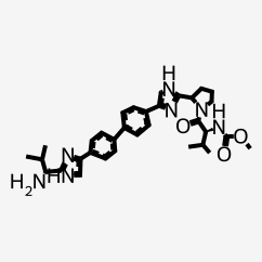 COC(=O)N[C@H](C(=O)N1CCCC1c1nc(-c2ccc(-c3ccc(-c4c[nH]c(C(N)C(C)C)n4)cc3)cc2)c[nH]1)C(C)C